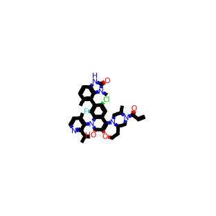 C=CC(=O)N1CC2CCOC3=C(c4cc(Cl)c(-c5c(C)ccc6[nH]c(=O)n(C)c56)c(F)c4N(c4c(C)ccnc4C(C)C)C3O)N2CC1C